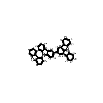 c1ccc2c(c1)oc1cccc(-n3c4ccccc4c4cc(-c5cc6c7ccccc7n7c8ccccc8c(c5)c67)ccc43)c12